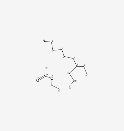 CCCCCCC(CC)CCC.CCOC(C)=O